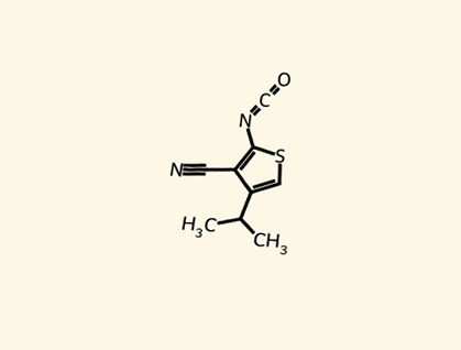 CC(C)c1csc(N=C=O)c1C#N